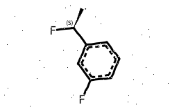 [CH2][C@H](F)c1cccc(F)c1